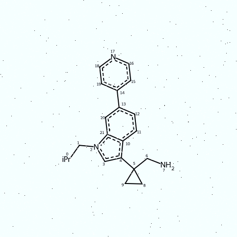 CC(C)Cn1cc(C2(CN)CC2)c2ccc(-c3ccncc3)cc21